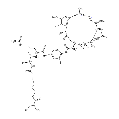 C=C(CBr)C(=O)OCCCCCC(=O)N[C@H](C(=O)N[C@@H](CCCNC(N)=O)C(=O)Nc1ccc(NC(=O)O[C@H]2CC(=O)N(C)c3cc(cc(OC)c3Cl)C/C(C)=C/C=C/[C@@H](OC)[C@@]3(O)C[C@H](OC(=O)N3)[C@@H](C)[C@@H]3O[C@@]23C)c(F)c1)C(C)C